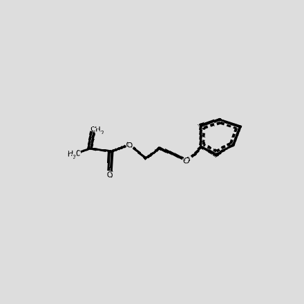 C=C(C)C(=O)OCCOc1[c]cccc1